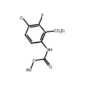 CCOC(=O)c1c(NC(=O)OC(C)(C)C)ccc(Cl)c1F